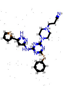 N#CCCN1CCN(c2nc(Nc3cc(-c4cccs4)[nH]n3)nc(Sc3ccccc3)n2)CC1